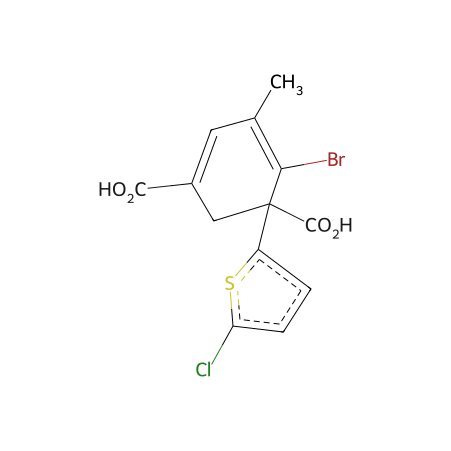 CC1=C(Br)C(C(=O)O)(c2ccc(Cl)s2)CC(C(=O)O)=C1